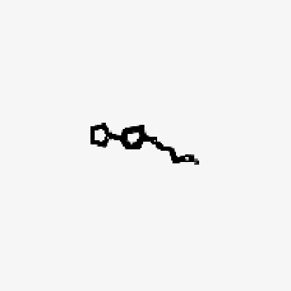 CCCCOc1ccc(N2CCCC2)cc1